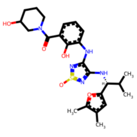 Cc1cc([C@H](Nc2n[s+]([O-])nc2Nc2cccc(C(=O)N3CCCC(O)C3)c2O)C(C)C)oc1C